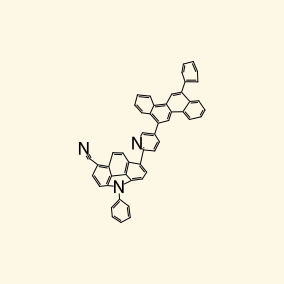 N#Cc1ccc2c3c1ccc1c(-c4ccc(-c5cc6c7ccccc7c(-c7ccccc7)cc6c6ccccc56)cn4)ccc(c13)n2-c1ccccc1